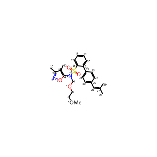 COCCOCN(c1onc(C)c1C)S(=O)(=O)c1ccccc1-c1ccc(C=C(C)C)cc1